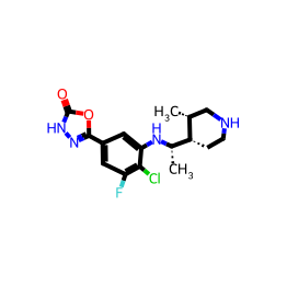 C[C@@H]1CNCC[C@@H]1[C@H](C)Nc1cc(-c2n[nH]c(=O)o2)cc(F)c1Cl